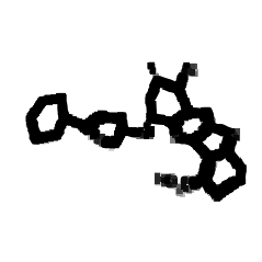 CC(=O)C1c2cc3c(nc2[C@H](Nc2ccc(C4CCCCC4)cc2)C[C@@H]1C)C1=C(C(=O)O)C=CCC1=N3